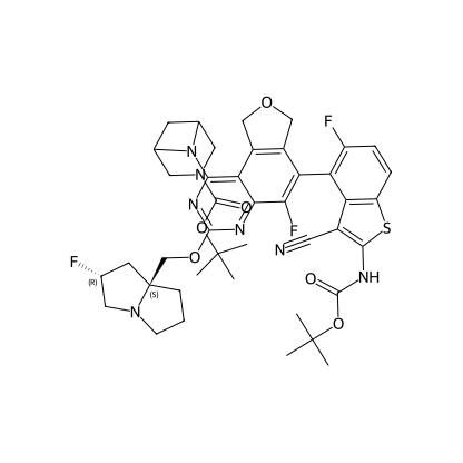 CC(C)(C)OC(=O)Nc1sc2ccc(F)c(-c3c4c(c5c(N6C7CC6CN(C(=O)OC(C)(C)C)C7)nc(OC[C@@]67CCCN6C[C@H](F)C7)nc5c3F)COC4)c2c1C#N